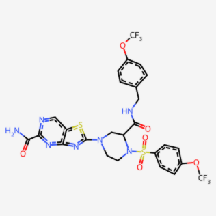 NC(=O)c1ncc2sc(N3CCN(S(=O)(=O)c4ccc(OC(F)(F)F)cc4)C(C(=O)NCc4ccc(OC(F)(F)F)cc4)C3)nc2n1